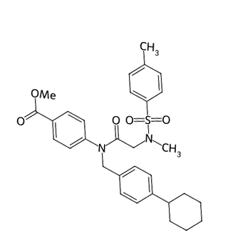 COC(=O)c1ccc(N(Cc2ccc(C3CCCCC3)cc2)C(=O)CN(C)S(=O)(=O)c2ccc(C)cc2)cc1